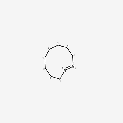 C1CCCC/N=N/CCC1